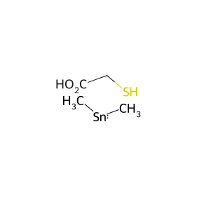 O=C(O)CS.[CH3][Sn][CH3]